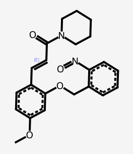 COc1ccc(/C=C/C(=O)N2CCCCC2)c(OCc2ccccc2N=O)c1